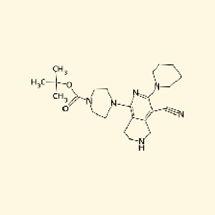 CC(C)(C)OC(=O)N1CCN(c2nc(N3CCCCC3)c(C#N)c3c2CCNC3)CC1